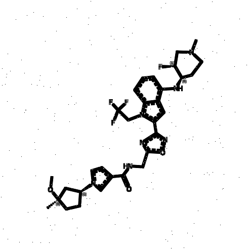 CO[C@]1(C)CC[C@H](n2ccc(C(=O)NCc3nc(-c4cc5c(N[C@@H]6CCN(C)C[C@@H]6F)cccc5n4CC(F)(F)F)no3)c2)C1